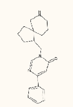 O=c1cc(-c2ccccc2)ncn1CC1CCCC12CCCNC2